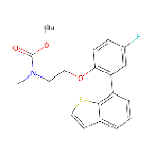 CN(CCOc1ccc(F)cc1-c1cccc2ccsc12)C(=O)OC(C)(C)C